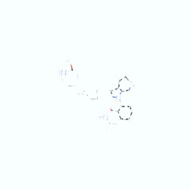 Cc1cncc2c1c(C[C@@H]1CCN(C[C@H]3CCNC(=O)CC3)C1)cn2-c1ccc(F)cc1C(=O)N(C)C(C)C